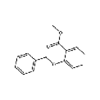 C/C=C(OCc1ccccc1)\C(=C/C)C(=O)OC